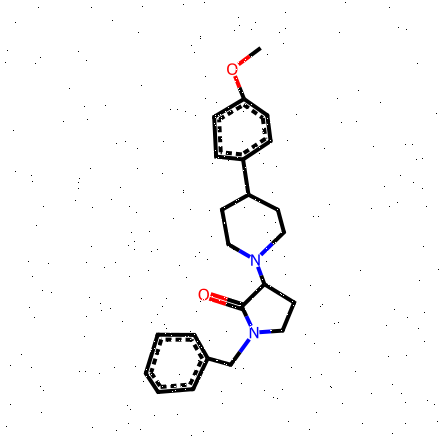 COc1ccc(C2CCN(C3CCN(Cc4ccccc4)C3=O)CC2)cc1